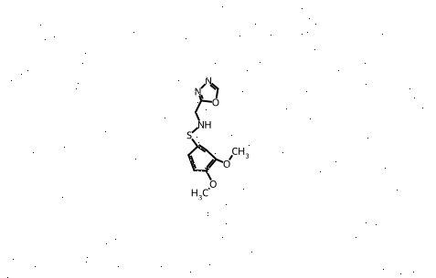 COc1ccc(SNCc2nnco2)cc1OC